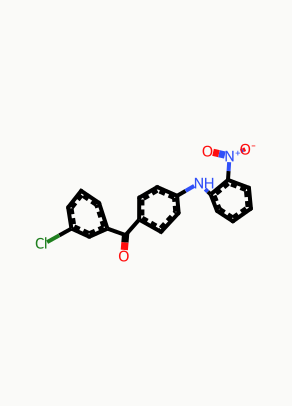 O=C(c1ccc(Nc2ccccc2[N+](=O)[O-])cc1)c1cccc(Cl)c1